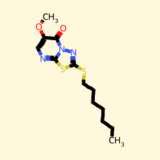 CCCCCCCSc1nn2c(=O)c(OC)cnc2s1